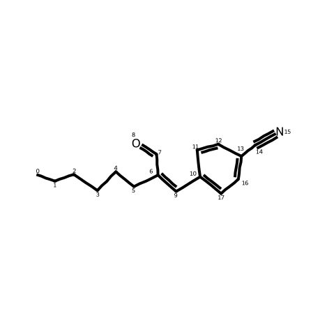 CCCCCCC(C=O)=Cc1ccc(C#N)cc1